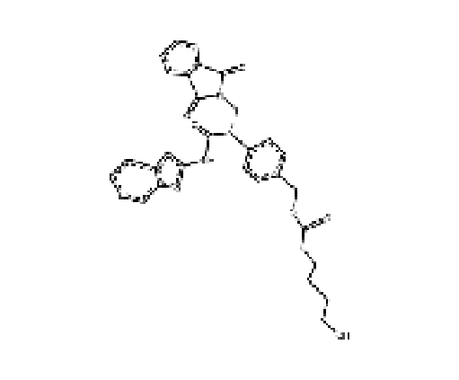 O=C(OCCCCO)OCc1ccc([C@@H](CN2C(=O)c3ccccc3C2=O)C(=O)Nc2cc3ccncc3s2)cc1